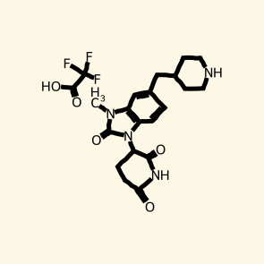 Cn1c(=O)n(C2CCC(=O)NC2=O)c2ccc(CC3CCNCC3)cc21.O=C(O)C(F)(F)F